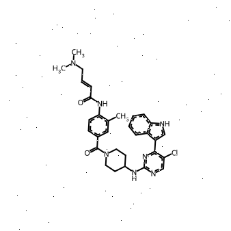 Cc1cc(C(=O)N2CCC(Nc3ncc(Cl)c(-c4c[nH]c5ccccc45)n3)CC2)ccc1NC(=O)C=CCN(C)C